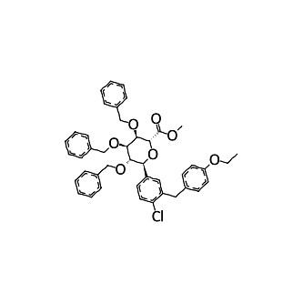 CCOc1ccc(Cc2cc([C@@H]3O[C@@H](C(=O)OC)[C@H](OCc4ccccc4)[C@H](OCc4ccccc4)[C@H]3OCc3ccccc3)ccc2Cl)cc1